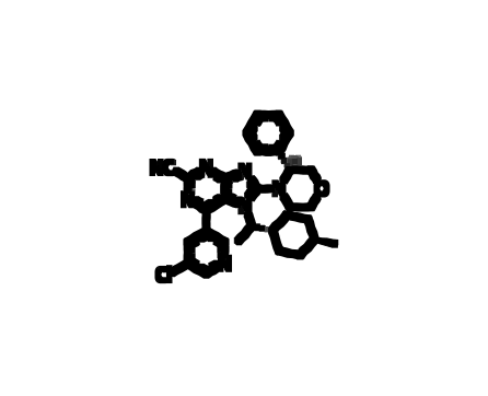 CC([C@H]1CC[C@H](C)CC1)n1c(N2CCOC[C@H]2c2ccccc2)nc2nc(C#N)nc(-c3cncc(Cl)c3)c21